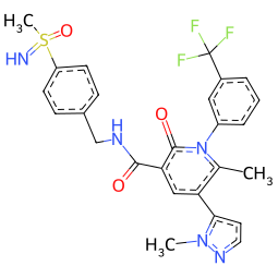 Cc1c(-c2ccnn2C)cc(C(=O)NCc2ccc(S(C)(=N)=O)cc2)c(=O)n1-c1cccc(C(F)(F)F)c1